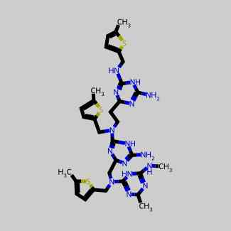 CNC1=NC(C)N=C(N(Cc2ccc(C)s2)CC2N=C(N)NC(N(CCC3N=C(N)NC(NCc4ccc(C)s4)=N3)Cc3ccc(C)s3)=N2)N1